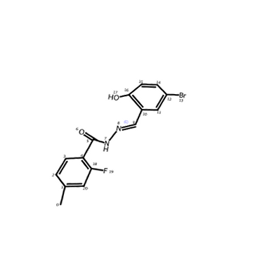 Cc1ccc(C(=O)N/N=C/c2cc(Br)ccc2O)c(F)c1